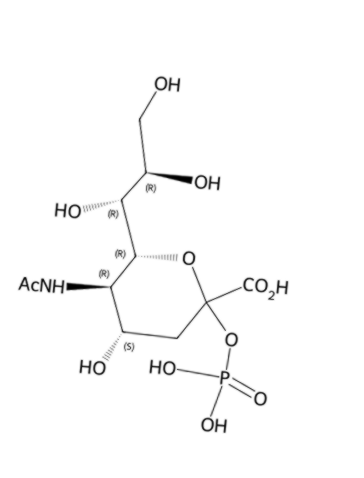 CC(=O)N[C@H]1[C@H]([C@H](O)[C@H](O)CO)OC(OP(=O)(O)O)(C(=O)O)C[C@@H]1O